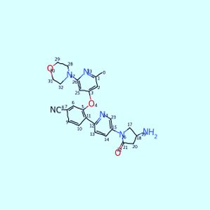 Cc1cc(Oc2cc(C#N)ccc2-c2ccc(N3CC(N)CC3=O)cn2)cc(N2CCOCC2)n1